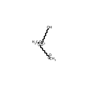 COC(=O)CCCCCCCC(OOCCCCCCCCCO)OC(C)C